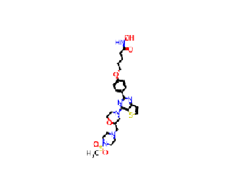 CS(=O)(=O)N1CCN(CC2CN(c3nc(-c4ccc(OCCCCC(=O)NO)cc4)nc4ccsc34)CCO2)CC1